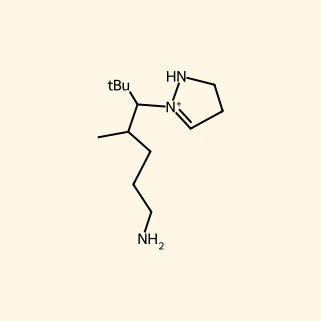 CC(CCCN)C([N+]1=CCCN1)C(C)(C)C